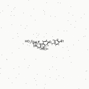 CCc1ccc(COc2ccc3c(c2)CCC(CN2CC(C(=O)O)C2)=C3C)cc1.Cl